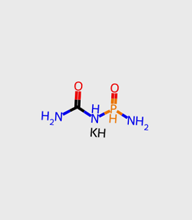 NC(=O)N[PH](N)=O.[KH]